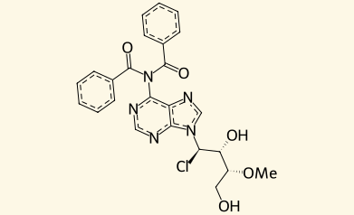 CO[C@H](CO)[C@@H](O)[C@@H](Cl)n1cnc2c(N(C(=O)c3ccccc3)C(=O)c3ccccc3)ncnc21